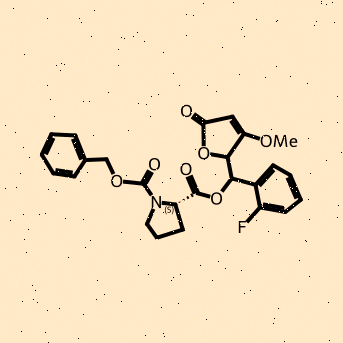 COC1=CC(=O)OC1C(OC(=O)[C@@H]1CCCN1C(=O)OCc1ccccc1)c1ccccc1F